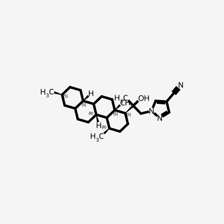 C[C@H]1CC[C@H]2C(CC[C@@H]3C2CC[C@@]2(C)C3[C@H](C)CC[C@@H]2C(C)(O)Cn2cc(C#N)cn2)C1